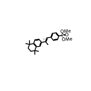 COP(=O)(OC)c1ccc(/C=C(\C)c2ccc3c(c2)C(C)(C)CCC3(C)C)cc1